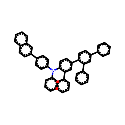 c1ccc(-c2ccc(-c3ccc(N(c4ccccc4)c4ccc(-c5ccc6ccccc6c5)cc4)c(-c4ccccc4)c3)c(-c3ccccc3)c2)cc1